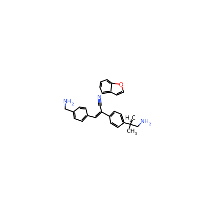 CC(C)(CN)c1ccc(/C(C#N)=C/c2ccc(CN)cc2)cc1.c1ccc2occc2c1